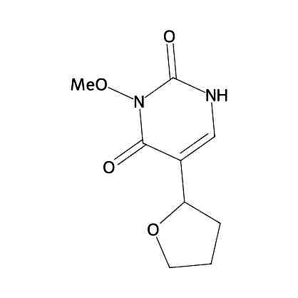 COn1c(=O)[nH]cc(C2CCCO2)c1=O